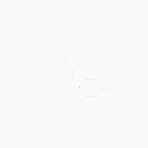 CCCCC1(CCC)CCN(CC)CC1